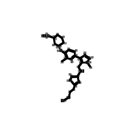 CCOCCc1nc(NCc2c(-c3ccc(O[C@H]4CCC[C@H](C(=O)O)C4)c(C)n3)nnn2C)no1